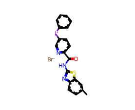 Cc1ccc2nc(NC(=O)c3ccc([I+]c4ccccc4)cn3)sc2c1.[Br-]